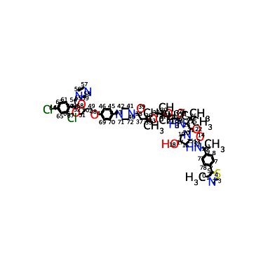 Cc1ncsc1-c1ccc([C@H](C)NC(=O)[C@@H]2C[C@@H](O)CN2C(=O)C(NC(=O)COC(C)(C)COC(C)(C)CC(=O)N2CCN(c3ccc(OC[C@H]4CO[C@](Cn5ccnc5)(c5ccc(Cl)cc5Cl)O4)cc3)CC2)C(C)(C)C)cc1